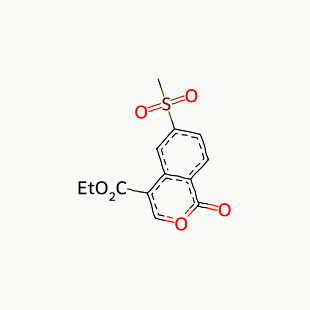 CCOC(=O)c1coc(=O)c2ccc(S(C)(=O)=O)cc12